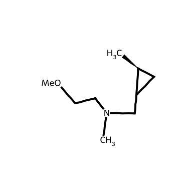 COCCN(C)CC1C[C@@H]1C